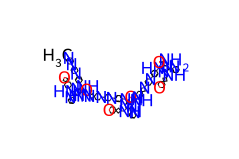 CN1CCN(C2CCN(c3ccc(Nc4nc(NC5CCC6(CC5)COC6)c(-c5ccccn5)nc4C(=O)NN4CC5(CCN(C6CCN(c7ccc(Nc8nc(NC9CC%10(CCOCC%10)C9)c(-c9ccccn9)nc8C(=O)NN8CCC9(CC8)CN(C8CCN(c%10ccc(Nc%11nc(NC%12CC%13(CCOCC%13)C%12)c(-c%12ccccn%12)nc%11C(N)=O)cc%10)CC8)C9)cc7)CC6)CC5)C4)cc3)CC2)CC1